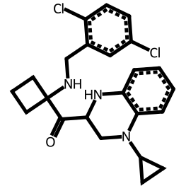 O=C(C1CN(C2CC2)c2ccccc2N1)C1(NCc2cc(Cl)ccc2Cl)CCC1